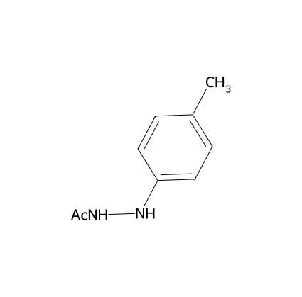 CC(=O)NNc1ccc(C)cc1